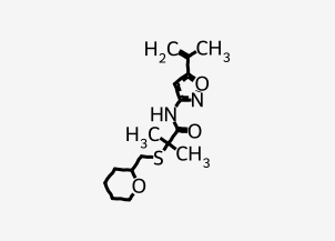 C=C(C)c1cc(NC(=O)C(C)(C)SCC2CCCCO2)no1